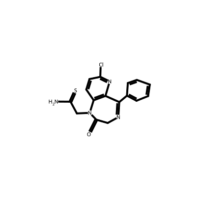 NC(=S)CN1C(=O)CN=C(c2ccccc2)c2nc(Cl)ccc21